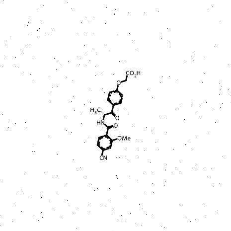 COc1cc(C#N)ccc1C(=O)N[C@H](C)C(=O)c1ccc(OCC(=O)O)cc1